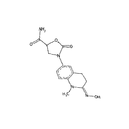 CN1/C(=N/O)CCc2cc(N3CC(C(N)=O)OC3=O)ccc21